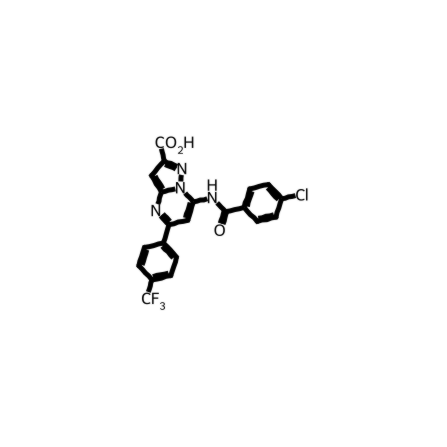 O=C(Nc1cc(-c2ccc(C(F)(F)F)cc2)nc2cc(C(=O)O)nn12)c1ccc(Cl)cc1